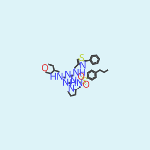 CCCc1ccc(S(=O)(=O)NC[C@H]2CCCN2c2nc(NCc3csc(-c4ccccc4)n3)nc(NCC3CCOCC3)n2)cc1